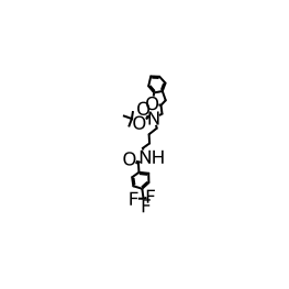 CC(C)(C)OC(=O)N(CCCCNC(=O)c1ccc(C(F)(F)F)cc1)CC1Cc2ccccc2O1